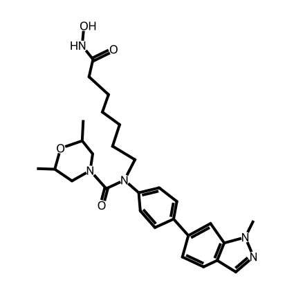 CC1CN(C(=O)N(CCCCCCC(=O)NO)c2ccc(-c3ccc4cnn(C)c4c3)cc2)CC(C)O1